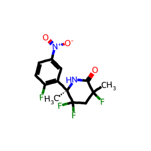 CC1(F)CC(F)(F)[C@@](C)(c2cc([N+](=O)[O-])ccc2F)NC1=O